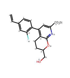 C=Cc1ccc(-c2cc(C(=O)OCC)nc3c2CCC(CO)O3)c(F)c1